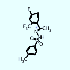 C/C(=N\NS(=O)(=O)c1ccc(C)cc1)c1ccc(F)cc1C(F)(F)F